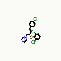 Clc1ccc(C=CC(Cn2ccnc2)Sc2c(Cl)cccc2Cl)cc1